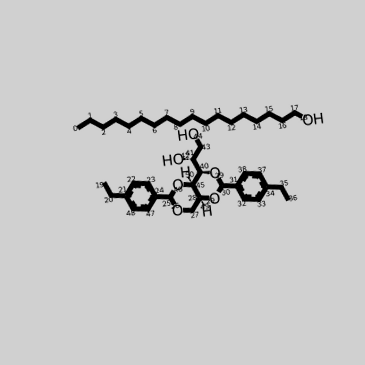 CCCCCCCCCCCCCCCCCCO.CCc1ccc(C2OC[C@@H]3OC(c4ccc(CC)cc4)O[C@H]([C@H](O)CO)[C@@H]3O2)cc1